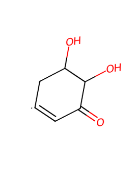 O=C1C=[C]CC(O)C1O